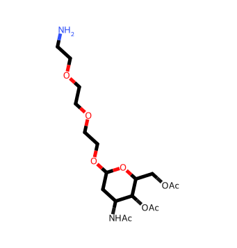 CC(=O)NC1CC(OCCOCCOCCN)OC(COC(C)=O)C1OC(C)=O